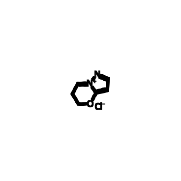 C1=N[N+]2=CCCOC2=C1.[Cl-]